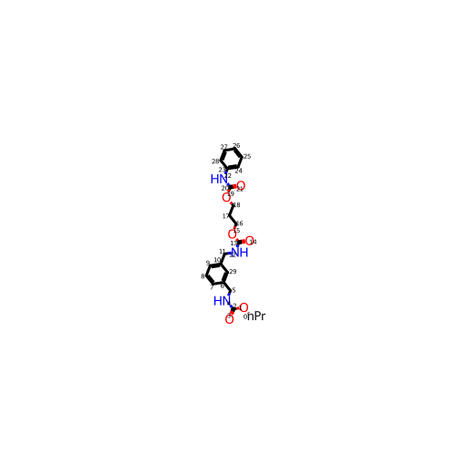 CCCOC(=O)NCc1cccc(CNC(=O)OCCCOC(=O)Nc2ccccc2)c1